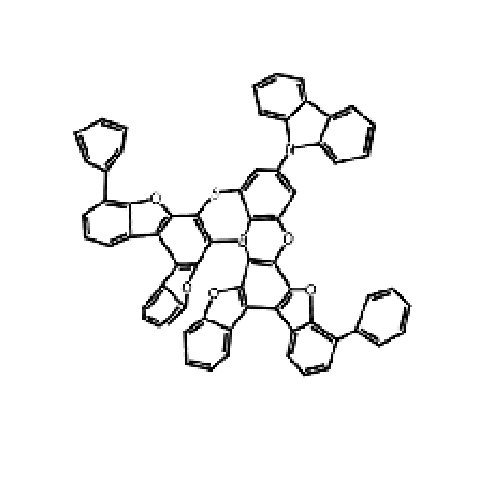 c1ccc(-c2cccc3c2oc2c4c(c5oc6ccccc6c5c23)B2c3c(cc(-n5c6ccccc6c6ccccc65)cc3Sc3c2c2oc5ccccc5c2c2c3oc3c(-c5ccccc5)cccc32)O4)cc1